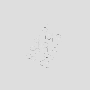 CC(C)(C)c1cc(-c2nc(-c3cc(C(C)(C)C)cc(C(C)(C)C)c3)nc(-c3cc4c5c(c3)N(c3cc(C(C)(C)C)cc(C(C)(C)C)c3)c3c(cc6c7cccc8cccc(c9cccc3c96)c87)B5c3cc5c6cccc7cccc(c8cccc(c3N4c3cc(C(C)(C)C)cc(C(C)(C)C)c3)c85)c76)n2)cc(C(C)(C)C)c1